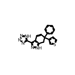 C1=CC(c2ccccc2)(c2ccsc2)Cc2[nH]nc(-c3nnn[nH]3)c21